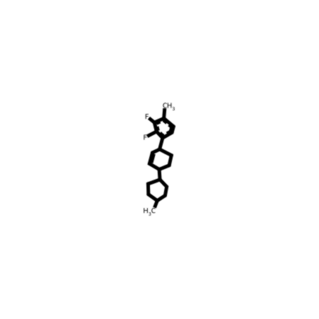 Cc1ccc(C2C=CC(C3CCC(C)CC3)CC2)c(F)c1F